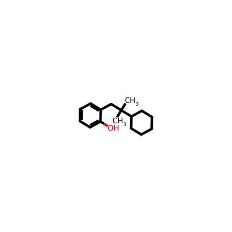 CC(C)(Cc1ccccc1O)C1CCCCC1